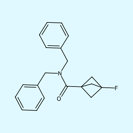 O=C(N(Cc1ccccc1)Cc1ccccc1)C12CC(F)(C1)C2